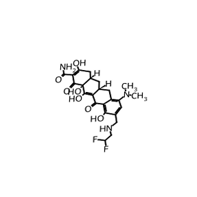 CN(C)c1cc(CNCC(F)F)c(O)c2c1C[C@H]1C[C@H]3CC(O)=C(C(N)=O)C(=O)[C@@]3(O)C(O)=C1C2=O